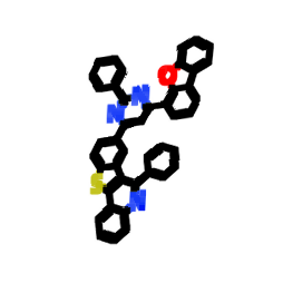 c1ccc(-c2nc(-c3ccc4sc5c6ccccc6nc(-c6ccccc6)c5c4c3)cc(-c3cccc4c3oc3ccccc34)n2)cc1